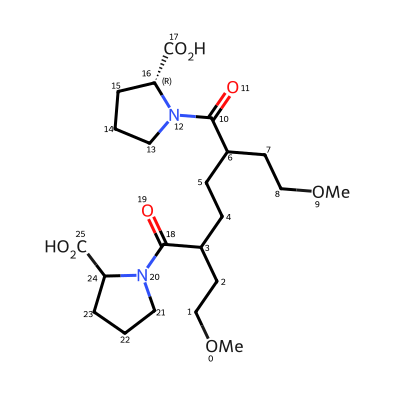 COCCC(CCC(CCOC)C(=O)N1CCC[C@@H]1C(=O)O)C(=O)N1CCCC1C(=O)O